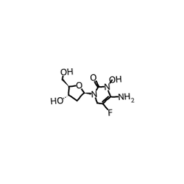 NC1=C(F)CN([C@H]2C[C@H](O)[C@@H](CO)O2)C(=O)N1O